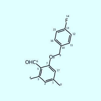 Cc1cc(C)c(C=O)c(OCc2ccc(F)cc2)c1